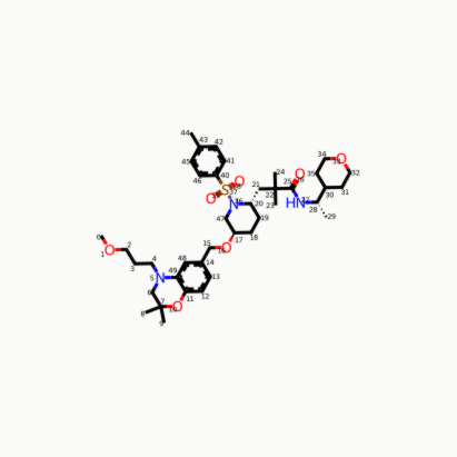 COCCCN1CC(C)(C)Oc2ccc(CO[C@@H]3CC[C@@H](CC(C)(C)C(=O)N[C@@H](C)C4CCOCC4)N(S(=O)(=O)c4ccc(C)cc4)C3)cc21